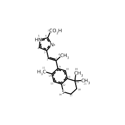 C/C(=C\c1c[nH]c(C(=O)O)n1)c1cc2c(cc1C)SCCC2(C)C